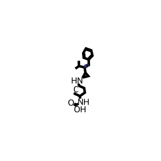 CC(C)/C(=C\c1ccccc1)C1CC1NC1CCC(NC(=O)O)CC1